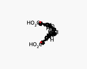 Cl.Cl.Cn1c(C(=O)Nc2cccc(-c3cccc(NC(=O)c4nc5c(n4C)CCN(CCC46CCC(C(=O)O)(CC4)C6)C5)c3Cl)c2Cl)nc2c1CCN(CCC13CCC(C(=O)O)(CC1)C3)C2